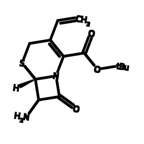 C=CC1=C(C(=O)OC(C)(C)C)N2C(=O)C(N)[C@H]2SC1